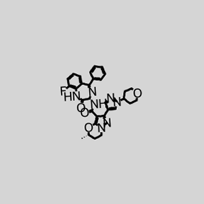 C[C@H]1CCn2nc(-c3cnn(C4CCOCC4)c3)c(C(=O)N[C@H]3N=C(c4ccccc4)c4cccc(F)c4NC3=O)c2O1